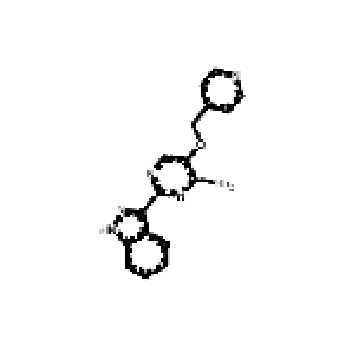 Nc1nc(-c2n[nH]c3ccccc23)ncc1OCc1ccncc1